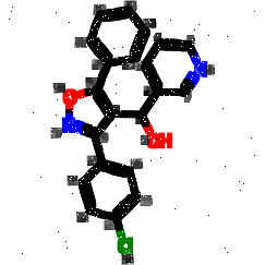 OC(c1cccnc1)c1c(-c2ccc(Cl)cc2)noc1-c1ccccc1